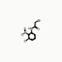 O=C(CBr)Nc1cccc(Cl)c1[N+](=O)[O-]